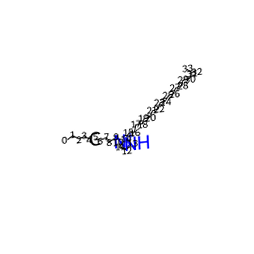 CCCCCCCCCC[n+]1cc[nH]c1CCCCCCCCCCCCCCCCC(C)C